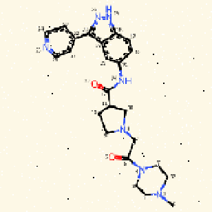 CN1CCN(C(=O)CN2CC[C@@H](C(=O)Nc3ccc4[nH]nc(-c5ccncc5)c4c3)C2)CC1